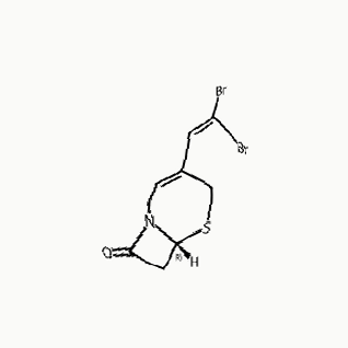 O=C1C[C@H]2SCC(C=C(Br)Br)=CN12